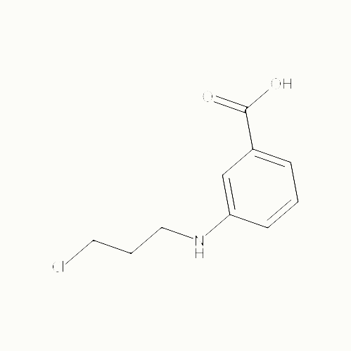 O=C(O)c1cccc(NCCCCl)c1